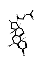 CC(=O)OCC(=O)[C@H]1[C@H](C)C[C@H]2[C@@H]3C[C@H](Cl)C4=CC(=O)C=C[C@]4(C)C3=CC[C@@]21C